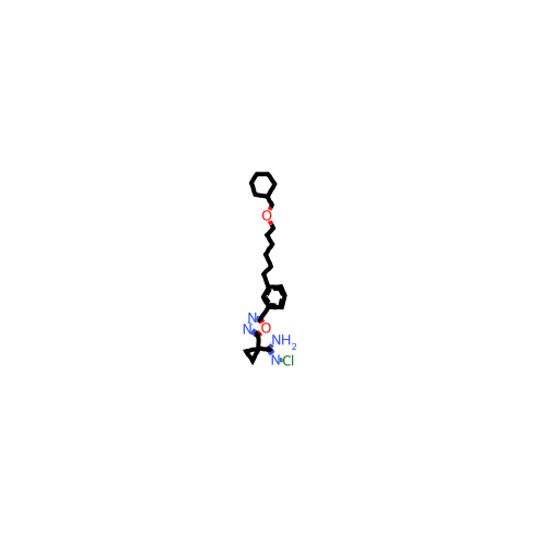 N/C(=N\Cl)C1(c2nnc(-c3cccc(CCCCCCOCC4CCCCC4)c3)o2)CC1